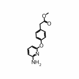 COC(=O)Cc1ccc(Oc2cccc(N)n2)cc1